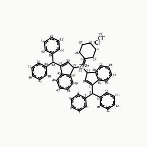 C1=C(C(c2ccccc2)c2ccccc2)c2ccccc2[CH]1[Zr+2](=[C]1CCCCC1)[CH]1C=C(C(c2ccccc2)c2ccccc2)c2ccccc21.[Cl-].[Cl-]